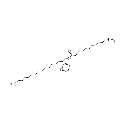 CCCCCCCCCCCCCCCCOC(=O)CCCCCCCCCCC.c1ccncc1